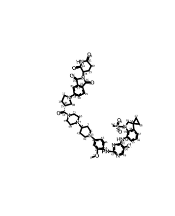 COc1cc(N2CCC(N3CCN(C(=O)[C@@H]4CCN(c5ccc6c(c5)C(=O)N(C5CCC(=O)NC5=O)C6=O)C4)CC3)CC2)ccc1Nc1ncc(Cl)c(Nc2cccc3c2N(S(C)(=O)=O)CC32CC2)n1